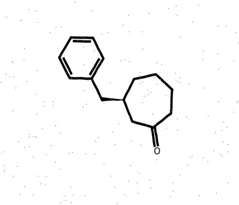 O=C1CCCC[C@H](Cc2ccccc2)C1